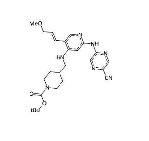 COCC=Cc1cnc(Nc2cnc(C#N)cn2)cc1NCC1CCN(C(=O)OC(C)(C)C)CC1